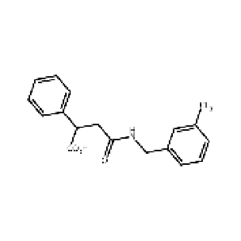 O=C(CC(C(=O)O)c1ccccc1)NCc1cccc(C(F)(F)F)c1